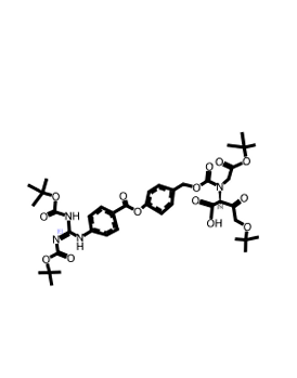 CC(C)(C)OCC(=O)[C@@H](C(=O)O)N(CC(=O)OC(C)(C)C)C(=O)OCc1ccc(OC(=O)c2ccc(N/C(=N\C(=O)OC(C)(C)C)NC(=O)OC(C)(C)C)cc2)cc1